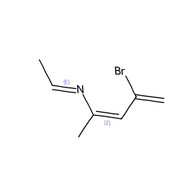 C=C(Br)/C=C(C)\N=C\C